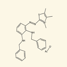 CC(=O)[O-].Cc1sc(N=Nc2cccc(NCc3ccccc3)c2NCc2ccccc2)[n+](C)c1C